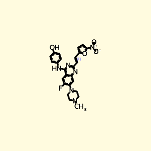 CN1CCN(c2cc3nc(/C=C/c4ccc([N+](=O)[O-])o4)nc(Nc4ccc(O)cc4)c3cc2F)CC1